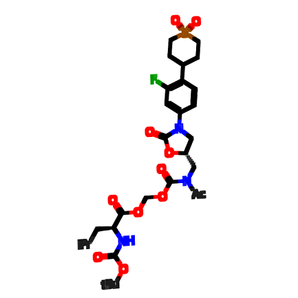 CC(=O)N(C[C@H]1CN(c2ccc(C3CCS(=O)(=O)CC3)c(F)c2)C(=O)O1)C(=O)OCOC(=O)[C@H](CC(C)C)NC(=O)OC(C)(C)C